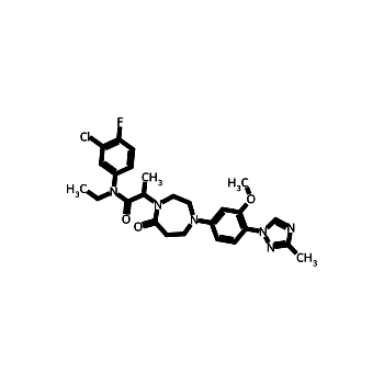 CCN(C(=O)C(C)N1CCN(c2ccc(-n3cnc(C)n3)c(OC)c2)CCC1=O)c1ccc(F)c(Cl)c1